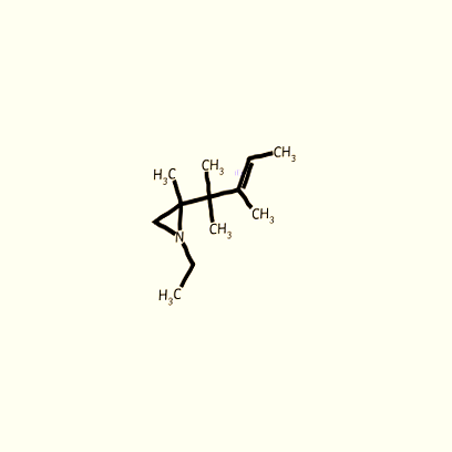 C/C=C(\C)C(C)(C)C1(C)CN1CC